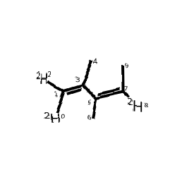 [2H]C([2H])=C(C)C(C)=C([2H])C